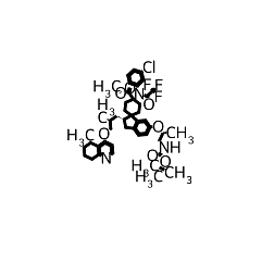 COC(=O)C1(N(C(=O)C(F)(F)F)c2cccc(Cl)c2)CCC2(CC1)c1cc(O[C@@H](C)CNC(=O)OC(C)(C)C)ccc1C[C@@H]2C[C@@H](C)COc1ccnc2c1[C@H](C)CCC2